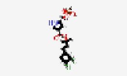 CC(C)(CCc1ccc(Cl)c(Cl)c1)OC(=O)[C@H]1CN[C@H](COS(C)(=O)=O)C1